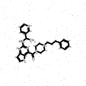 CC(Nc1nc(C(=O)N2CCN(CCCc3ccccc3)CC2)c2sccc2n1)c1cccnc1